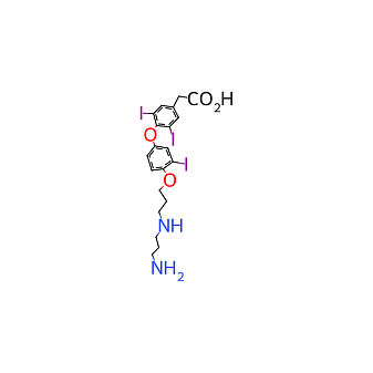 NCCCNCCCOc1ccc(Oc2c(I)cc(CC(=O)O)cc2I)cc1I